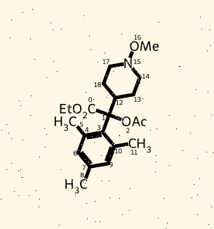 CCOC(=O)C(OC(C)=O)(c1c(C)cc(C)cc1C)C1CCN(OC)CC1